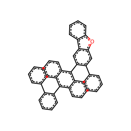 c1ccc(-c2ccccc2-c2c3ccccc3c(-c3cc4c(cc3-c3ccccc3)oc3ccccc34)c3ccccc23)cc1